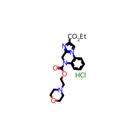 CCOC(=O)c1cn2c(n1)CN(C(=O)OCCN1CCOCC1)c1ccccc1-2.Cl